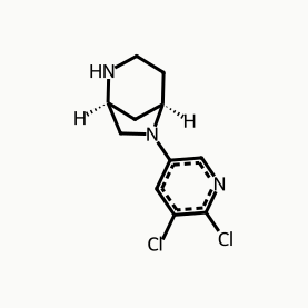 Clc1cc(N2C[C@@H]3C[C@H]2CCN3)cnc1Cl